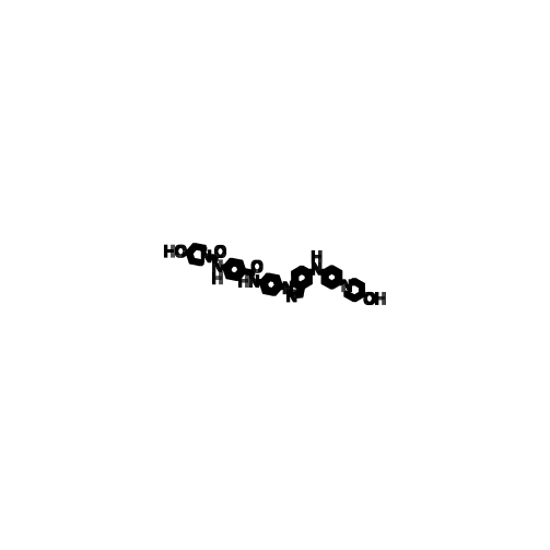 O=C(Nc1ccc(-n2ncc3cc(Nc4ccc(N5CCC(O)CC5)cc4)ccc32)cc1)c1ccc(NC(=O)N2CCC(O)CC2)cc1